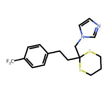 FC(F)(F)c1ccc(CCC2(Cn3ccnc3)SCCCS2)cc1